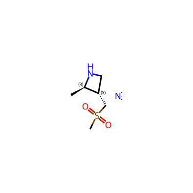 C[C@H]1NC[C@@H]1CS(C)(=O)=O.[N]